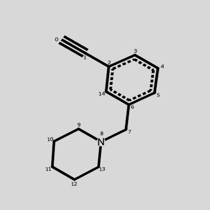 C#Cc1cccc(CN2CCCCC2)c1